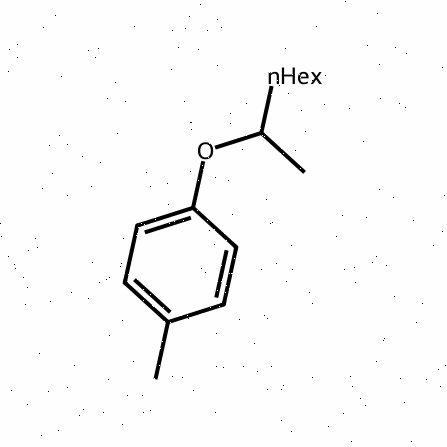 CCCCCCC(C)Oc1ccc(C)cc1